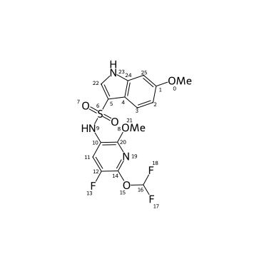 COc1ccc2c(S(=O)(=O)Nc3cc(F)c(OC(F)F)nc3OC)c[nH]c2c1